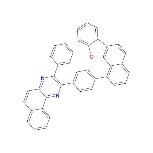 c1ccc(-c2nc3ccc4ccccc4c3nc2-c2ccc(-c3cccc4ccc5c6ccccc6oc5c34)cc2)cc1